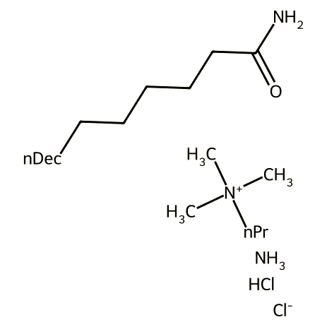 CCCCCCCCCCCCCCCC(N)=O.CCC[N+](C)(C)C.Cl.N.[Cl-]